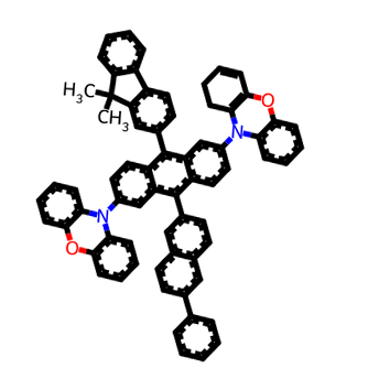 CC1(C)c2ccccc2-c2ccc(-c3c4ccc(N5c6ccccc6Oc6ccccc65)cc4c(-c4ccc5cc(-c6ccccc6)ccc5c4)c4ccc(N5C6=C(C=CCC6)Oc6ccccc65)cc34)cc21